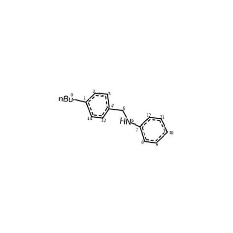 CCCCc1ccc(CNc2ccccc2)cc1